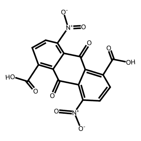 O=C(O)c1ccc([N+](=O)[O-])c2c1C(=O)c1c([N+](=O)[O-])ccc(C(=O)O)c1C2=O